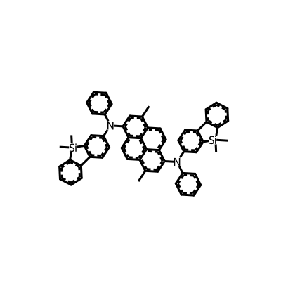 Cc1cc(N(c2ccccc2)c2ccc3c(c2)[Si](C)(C)c2ccccc2-3)c2ccc3c(C)cc(N(c4ccccc4)c4ccc5c(c4)[Si](C)(C)c4ccccc4-5)c4ccc1c2c34